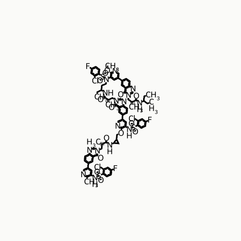 CCC(CC)NC(=O)[C@@H](C)Cn1cnc2ccc(-c3cnc(OC)c(N(CCC(CC)NC(=O)[C@@H](C)Cn4cnc5ccc(-c6cnc(OCC7CC7NC(=O)[C@H](C)Cn7cnc8ccc(-c9cnc(C)c(NS(=O)(=O)c%10ccc(F)cc%10Cl)c9)cc8c7=O)c(NS(=O)(=O)c7ccc(F)cc7Cl)c6)cc5c4=O)S(=O)(=O)c4ccc(F)cc4Cl)c3)cc2c1=O